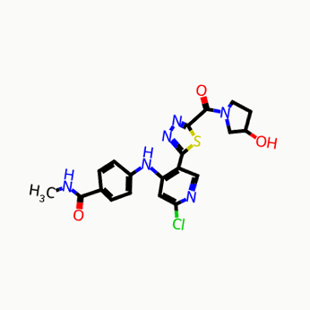 CNC(=O)c1ccc(Nc2cc(Cl)ncc2-c2nnc(C(=O)N3CCC(O)C3)s2)cc1